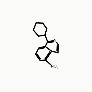 O=[N+]([O-])c1cccc2c(C3CCCCC3)nccc12